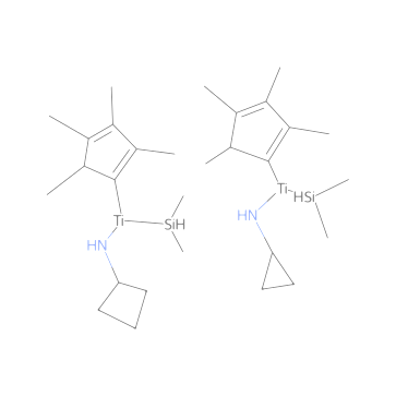 CC1=C(C)C(C)[C]([Ti]([NH]C2CC2)[SiH](C)C)=C1C.CC1=C(C)C(C)[C]([Ti]([NH]C2CCC2)[SiH](C)C)=C1C